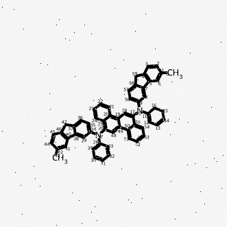 Cc1ccc2c(c1)-c1cc(N(C3=CC=CCC3)c3cc4c5ccccc5c(N(c5ccccc5)c5ccc6c(c5)-c5cc(C)ccc5C6)cc4c4ccccc34)ccc1C2